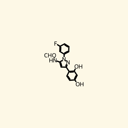 O=CNc1cc(-c2ccc(O)cc2O)nn1-c1cccc(F)c1